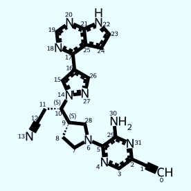 C#Cc1cnc(N2CC[C@H]([C@H](CC#N)n3cc(-c4ncnc5[nH]ccc45)cn3)C2)c(N)n1